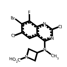 CN(c1nc(Cl)nc2c(F)c(Br)c(Cl)cc12)C1CN(C(=O)O)C1